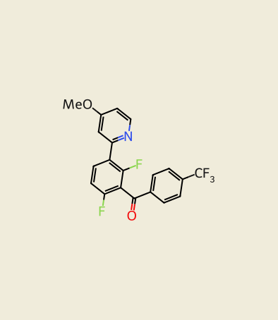 COc1ccnc(-c2ccc(F)c(C(=O)c3ccc(C(F)(F)F)cc3)c2F)c1